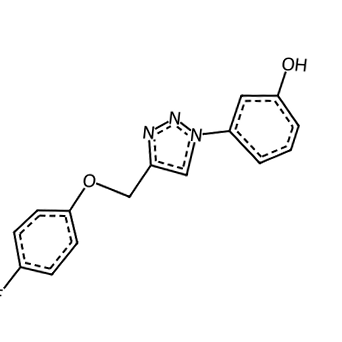 Oc1cccc(-n2cc(COc3ccc(F)cc3)nn2)c1